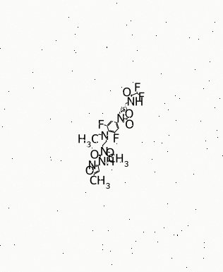 CCN(CCN(OC)C(=O)Nc1cc(C)on1)c1c(F)cc(N2C[C@H](CNC(=O)C(F)F)OC2=O)cc1F